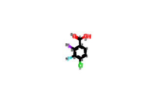 O=C(O)c1ccc(Cl)c(F)c1I